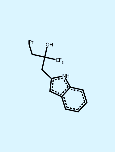 CC(C)CC(O)(Cc1cc2ccccc2[nH]1)C(F)(F)F